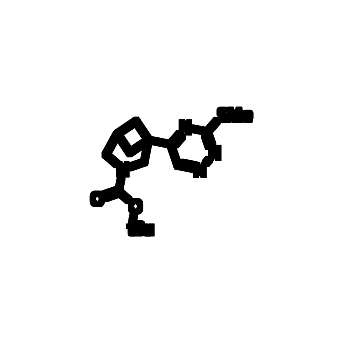 CSc1nncc(C23CC(CN(C(=O)OC(C)(C)C)C2)C3)n1